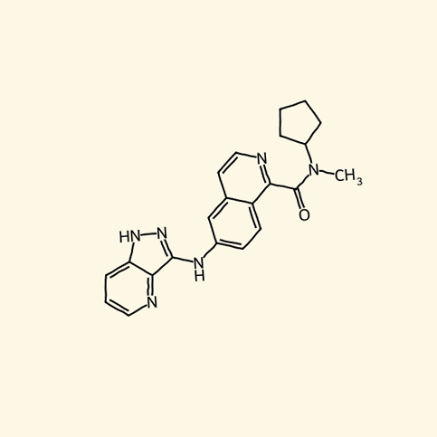 CN(C(=O)c1nccc2cc(Nc3n[nH]c4cccnc34)ccc12)C1CCCC1